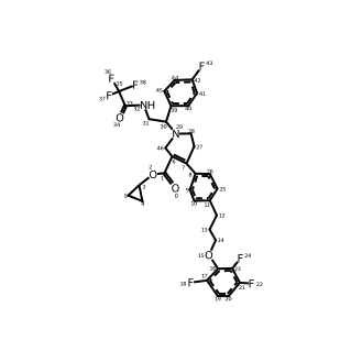 O=C(OC1CC1)C1=C(c2ccc(CCCOc3c(F)ccc(F)c3F)cc2)CCN(C(CNC(=O)C(F)(F)F)c2ccc(F)cc2)C1